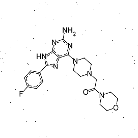 Nc1nc(N2CCN(CC(=O)N3CCOCC3)CC2)c2nc(-c3ccc(F)cc3)[nH]c2n1